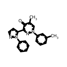 Cc1cccc(-n2cc(C)c(=O)c(-c3ccnn3-c3ccccc3)n2)c1